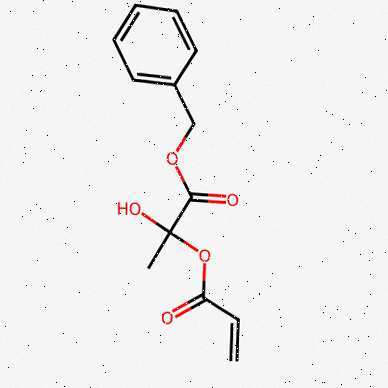 C=CC(=O)OC(C)(O)C(=O)OCc1ccccc1